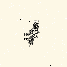 COc1c2c(c(O)c3c4c(c(C)cc13)C1OC3(C(OC)OC)OC1[C@@](OC)(O4)[C@@]31CO1)C(=O)[C@@H](O)C[C@@H]2OC1CC(C)(O)C(OC(C)=O)C(C)O1